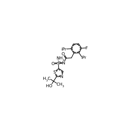 CC(C)c1ccc(F)c(C(C)C)c1CC(=O)N=[S@](N)(=O)c1cnc(C(C)(C)O)s1